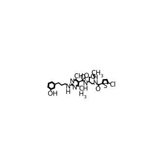 COC(=O)C(CNC(=O)c1ccc(Cl)s1)NC(=O)c1c(C)nc(NCCCc2cccc(O)c2)nc1C